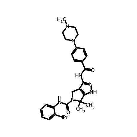 CC(C)c1ccccc1NC(=O)N1Cc2c(NC(=O)c3ccc(N4CCN(C)CC4)cc3)n[nH]c2C1(C)C